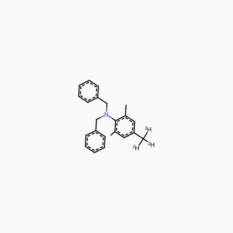 [2H]C([2H])([2H])c1cc(C)c(N(Cc2ccccc2)Cc2ccccc2)c(C)c1